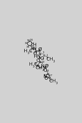 CCCC[C@H](NC(=O)O[C@@H]1CN(C(=O)OCc2cc(C)on2)CC1(C)C)C(=O)C(=O)N[C@H](C)c1ccccc1